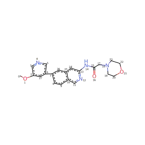 COc1cncc(-c2ccc3cnc(NC(=O)CN4CCOCC4)cc3c2)c1